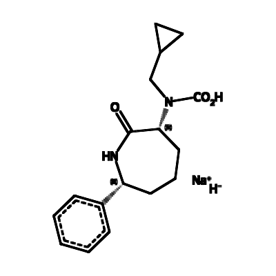 O=C1N[C@@H](c2ccccc2)CCC[C@H]1N(CC1CC1)C(=O)O.[H-].[Na+]